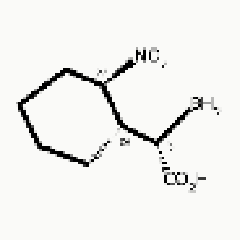 B[C@H](C(=O)O)[C@@H]1CCCC[C@H]1[N+](=O)[O-]